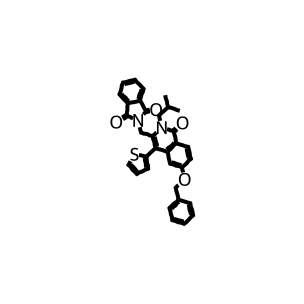 CC(C)Cn1c(CN2C(=O)c3ccccc3C2=O)c(-c2cccs2)c2cc(OCc3ccccc3)ccc2c1=O